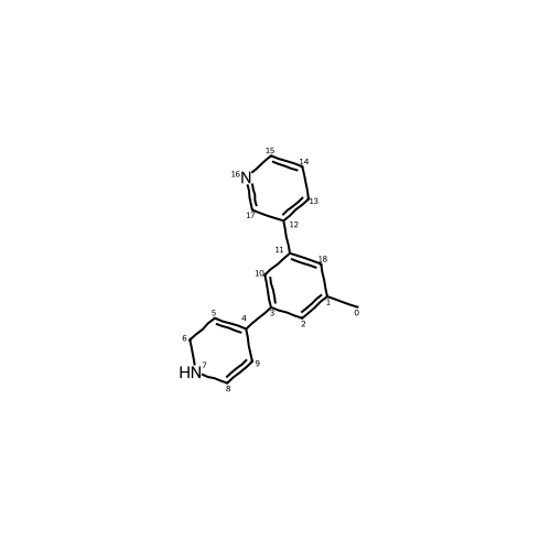 Cc1cc(C2=CCNC=C2)cc(-c2cccnc2)c1